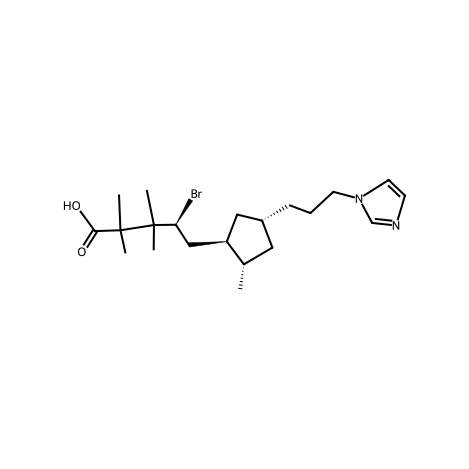 C[C@H]1C[C@@H](CCCn2ccnc2)C[C@@H]1C[C@H](Br)C(C)(C)C(C)(C)C(=O)O